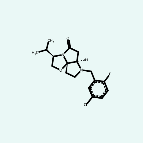 CC(C)[C@@H]1CO[C@@]23CCN(Cc4cc(Cl)ccc4F)[C@@H]2CC(=O)N13